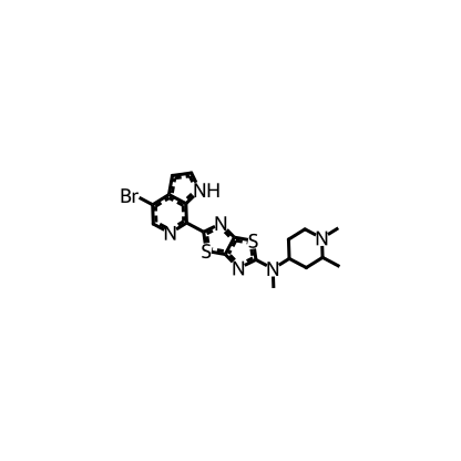 CC1CC(N(C)c2nc3sc(-c4ncc(Br)c5cc[nH]c45)nc3s2)CCN1C